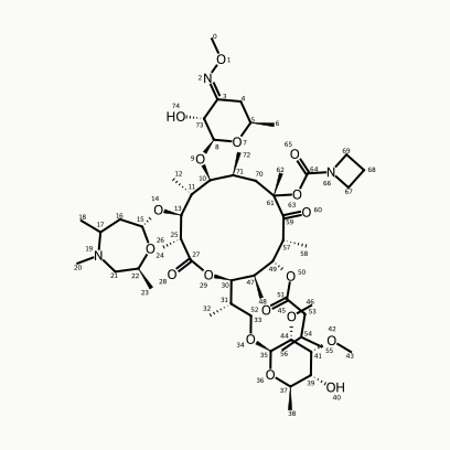 CO/N=C1\C[C@@H](C)O[C@@H](O[C@@H]2[C@@H](C)[C@H](O[C@H]3CC(C)N(C)C[C@H](C)O3)[C@@H](C)C(=O)O[C@H]([C@@H](C)CO[C@@H]3O[C@H](C)[C@@H](O)[C@@H](OC)[C@H]3OC)[C@H](C)[C@@H](OC(=O)CC(C)C)[C@@H](C)C(=O)[C@@](C)(OC(=O)N3CCC3)C[C@@H]2C)[C@@H]1O